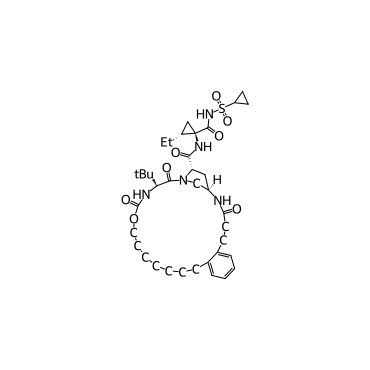 CC[C@@H]1C[C@]1(NC(=O)[C@@H]1C[C@@H]2CN1C(=O)[C@H](C(C)(C)C)NC(=O)OCCCCCCCc1ccccc1CCC(=O)N2)C(=O)NS(=O)(=O)C1CC1